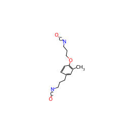 Cc1cc(CCCN=C=O)ccc1OCCCN=C=O